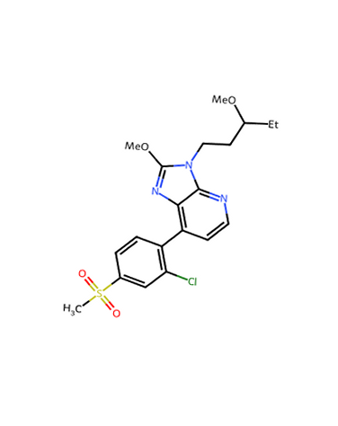 CCC(CCn1c(OC)nc2c(-c3ccc(S(C)(=O)=O)cc3Cl)ccnc21)OC